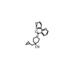 N#CC1(CC2CC2)CCN(C(=O)c2cccnc2-c2ccncn2)CC1